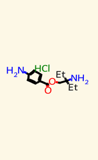 CCC(N)(CC)COC(=O)c1ccc(N)cc1.Cl